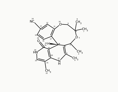 CC1=C2C(C)OC(C)(C)COc3cc(C#N)ccc3[C@H]2c2c(c(C)c[nH]c2=O)N1